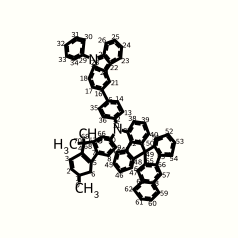 CC1C=CC2=C(C1)c1ccc(N(c3ccc(-c4ccc5c(c4)c4ccccc4n5-c4ccccc4)cc3)c3cccc4c3-c3ccccc3C43c4ccccc4-c4cc5ccccc5cc43)cc1C2(C)C